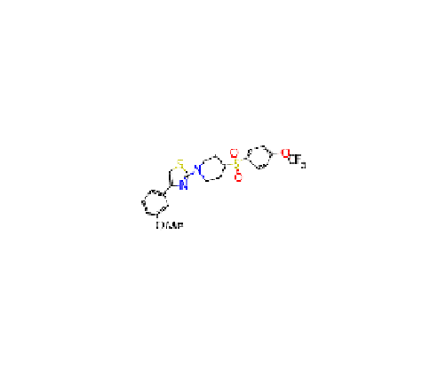 COc1cccc(-c2csc(N3CCC(S(=O)(=O)c4ccc(OC(F)(F)F)cc4)CC3)n2)c1